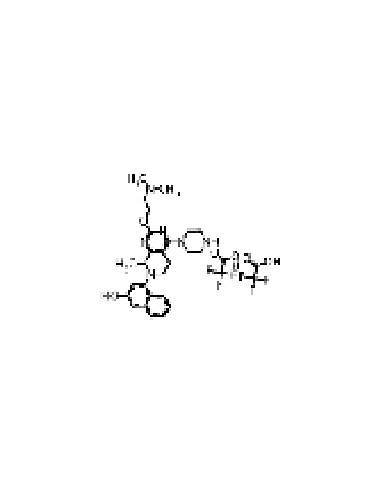 CC1c2nc(OCCN(C)C)nc(N3CCNCC3)c2CCN1c1cc(O)cc2ccccc12.O=C(O)C(F)(F)F.O=C(O)C(F)(F)F